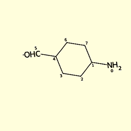 NC1CCC([C]=O)CC1